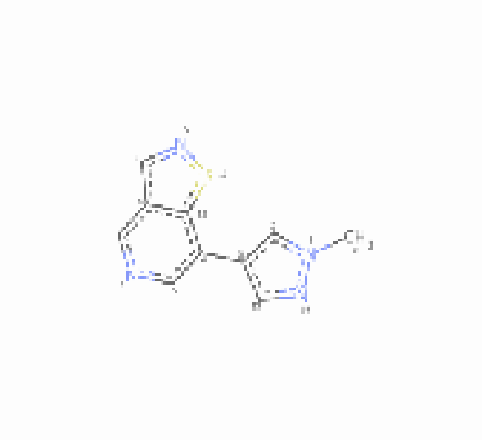 Cn1cc(-c2cncc3cnsc23)cn1